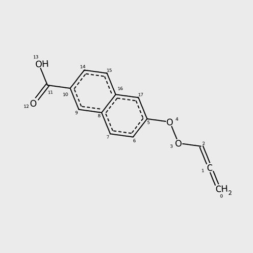 C=C=COOc1ccc2cc(C(=O)O)ccc2c1